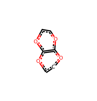 c1coc2occoc=2o1